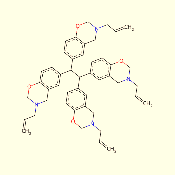 C=CCN1COc2ccc(C(c3ccc4c(c3)CN(CC=C)CO4)C(c3ccc4c(c3)CN(CC=C)CO4)c3ccc4c(c3)CN(CC=C)CO4)cc2C1